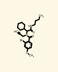 C#CCN(C(=O)c1ccc(OC)cc1Br)C(C(=O)NCCCC)C1CCCCC1